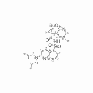 C=CCN(CC=C)c1ccc2c(S(=O)(=O)NC(=O)C3(c4cc(C)cnc4OCC(C)C)CC3)cccc2n1